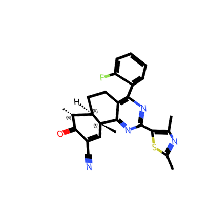 Cc1nc(C)c(-c2nc(-c3ccccc3F)c3c(n2)[C@]2(C)C=C(C#N)C(=O)[C@H](C)[C@H]2CC3)s1